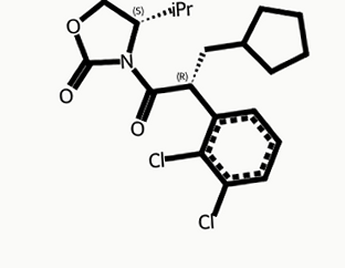 CC(C)[C@H]1COC(=O)N1C(=O)[C@H](CC1CCCC1)c1cccc(Cl)c1Cl